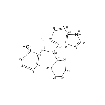 Oc1ccccc1-c1cc2cnc3[nH]ccc3c2n1C1CCCCC1